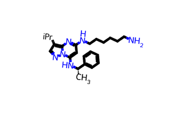 CC(C)c1cnn2c(N[C@@H](C)c3ccccc3)cc(NCCCCCCN)nc12